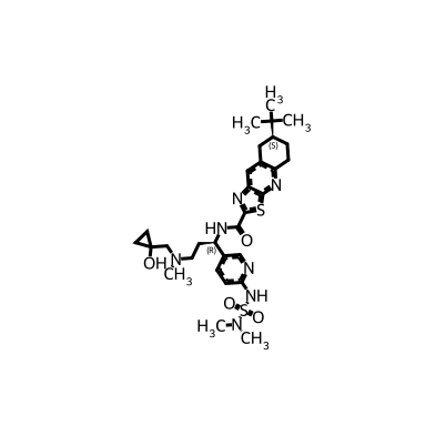 CN(CC[C@@H](NC(=O)c1nc2cc3c(nc2s1)CC[C@H](C(C)(C)C)C3)c1ccc(NS(=O)(=O)N(C)C)nc1)CC1(O)CC1